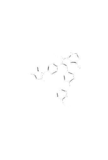 CC1=C[C@H](C)N(c2ccc(-c3c(-c4ccc(Oc5nccc(C)n5)cc4)c4c(N)ncnc4n3C)cc2)C1=O